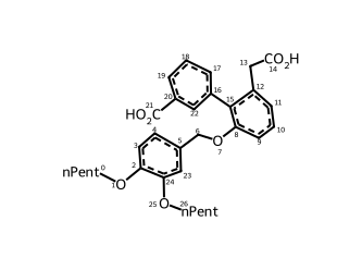 CCCCCOc1ccc(COc2cccc(CC(=O)O)c2-c2cccc(C(=O)O)c2)cc1OCCCCC